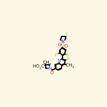 Cc1c(F)c(-c2c(F)cc(S(=O)(=O)N3CC[C@H](F)C3)cc2F)nc2cc(C(=O)N3CC(C)(C(=O)O)C3)ccc12